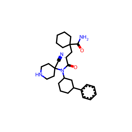 N#CC1(N(C(=O)[CH]CC2(C(N)=O)CCCCC2)C2CCCC(c3ccccc3)C2)CCNCC1